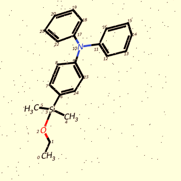 CCO[Si](C)(C)c1ccc(N(c2ccccc2)c2ccccc2)cc1